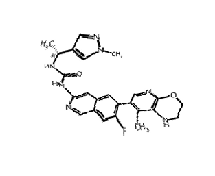 Cc1c(-c2cc3cc(NC(=O)N[C@H](C)c4cnn(C)c4)ncc3cc2F)cnc2c1NCCO2